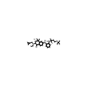 CCN(CC1CC1)C1C(=O)c2ccc(Nc3ccccc3NC(C)(C)CCOC(C)(C)C)cc2C(C)(C)[C@H]1C